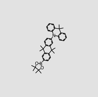 CC1(C)c2ccccc2N(c2ccc3c(c2)C(C)(C)c2ccc(B4OC(C)(C)C(C)(C)O4)cc2C3(C)C)c2ccccc21